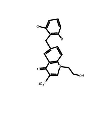 O=C(O)c1cn(CCO)c2ccc(Cc3c(F)cccc3Cl)cc2c1=O